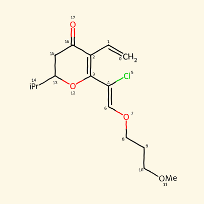 C=CC1=C(/C(Cl)=C/OCCCOC)OC(C(C)C)CC1=O